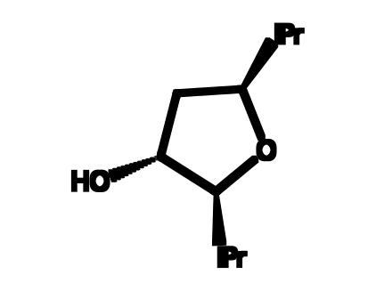 CC(C)[C@@H]1C[C@@H](O)[C@H](C(C)C)O1